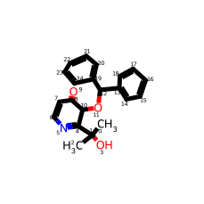 CC(C)(O)C1=NC=CC(=O)C1OC(c1ccccc1)c1ccccc1